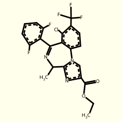 CCOC(=O)c1cn2c(n1)C(C)N=C(c1c(F)cccc1F)c1c-2ccc(C(F)(F)F)c1Cl